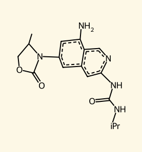 CC(C)NC(=O)Nc1cc2cc(N3C(=O)OCC3C)cc(N)c2cn1